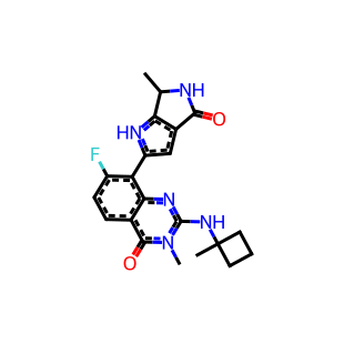 CC1NC(=O)c2cc(-c3c(F)ccc4c(=O)n(C)c(NC5(C)CCC5)nc34)[nH]c21